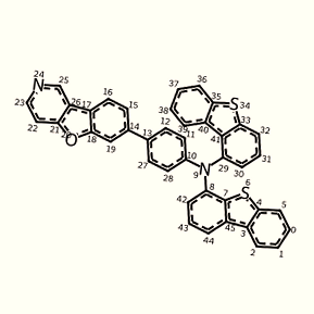 c1ccc2c(c1)sc1c(N(c3ccc(-c4ccc5c(c4)oc4ccncc45)cc3)c3cccc4sc5ccccc5c34)cccc12